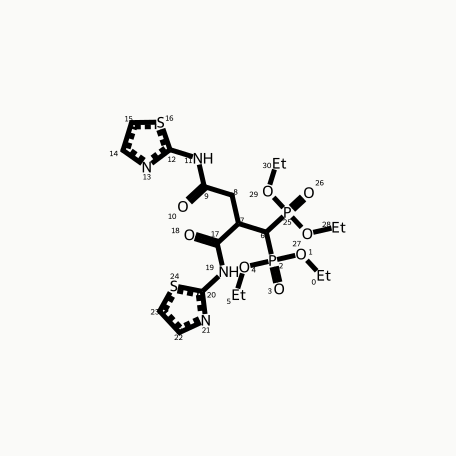 CCOP(=O)(OCC)C(C(CC(=O)Nc1nccs1)C(=O)Nc1nccs1)P(=O)(OCC)OCC